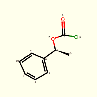 C[C@H](OC(=O)Cl)c1ccccc1